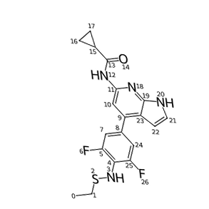 CCSNc1c(F)cc(-c2cc(NC(=O)C3CC3)nc3[nH]ccc23)cc1F